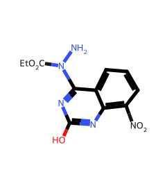 CCOC(=O)N(N)c1nc(O)nc2c([N+](=O)[O-])cccc12